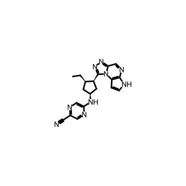 CC[C@@H]1C[C@H](Nc2cnc(C#N)cn2)C[C@@H]1c1nnc2cnc3[nH]ccc3n12